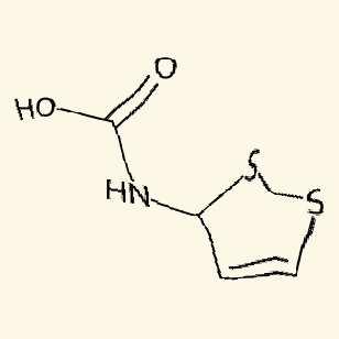 O=C(O)NC1C=CSS1